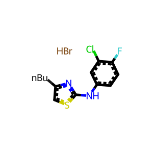 Br.CCCCc1csc(Nc2ccc(F)c(Cl)c2)n1